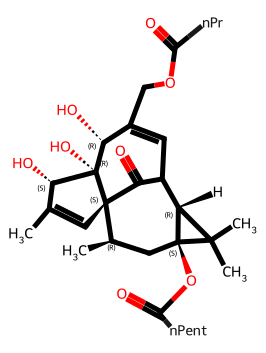 CCCCCC(=O)O[C@@]12C[C@@H](C)[C@]34C=C(C)[C@H](O)[C@@]3(O)[C@H](O)C(COC(=O)CCC)=CC(C4=O)[C@@H]1C2(C)C